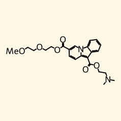 COCCOCCOC(=O)c1ccc2c(C(=O)OCCN(C)C)c3ccccc3n2c1